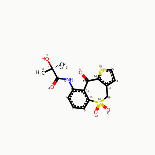 C[C@@](O)(C(=O)Nc1cccc2c1C(=O)c1sccc1CS2(=O)=O)C(F)(F)F